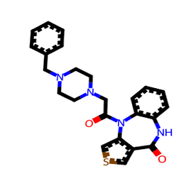 O=C1Nc2ccccc2N(C(=O)CN2CCN(Cc3ccccc3)CC2)c2cscc21